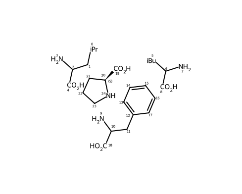 CC(C)CC(N)C(=O)O.CCC(C)C(N)C(=O)O.NC(Cc1ccccc1)C(=O)O.O=C(O)[C@@H]1CCCN1